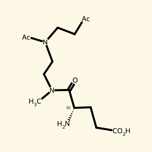 CC(=O)CCN(CCN(C)C(=O)[C@@H](N)CCC(=O)O)C(C)=O